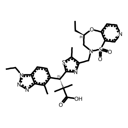 CC[C@@H]1CN(Cc2nc([C@@H](c3ccc4c(nnn4CC)c3C)C(C)(C)C(=O)O)sc2C)S(=O)(=O)c2cnccc2O1